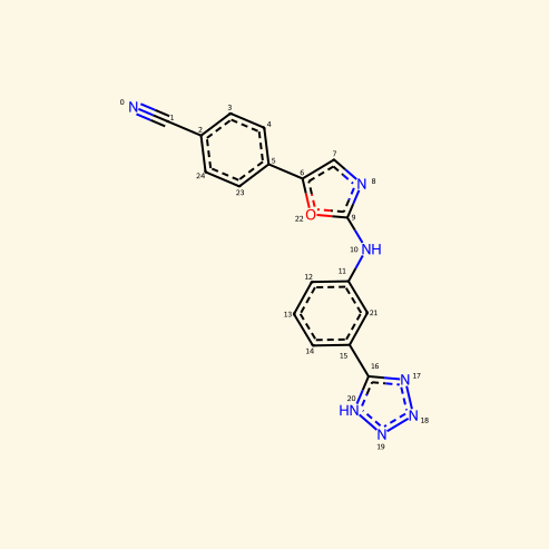 N#Cc1ccc(-c2cnc(Nc3cccc(-c4nnn[nH]4)c3)o2)cc1